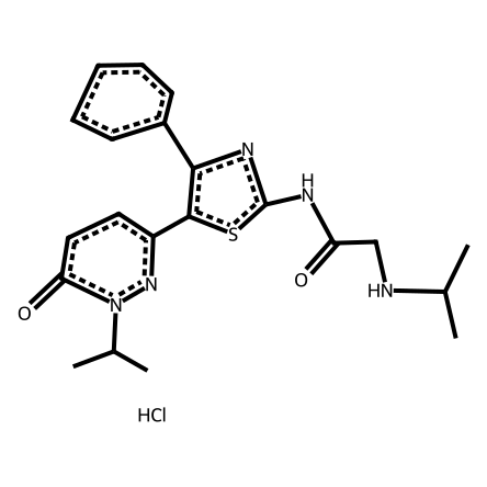 CC(C)NCC(=O)Nc1nc(-c2ccccc2)c(-c2ccc(=O)n(C(C)C)n2)s1.Cl